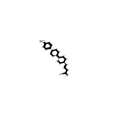 N#Cc1ccc([C@H]2CC[C@H]([C@H]3CC[C@H](C=CCC(F)F)CC3)CC2)cc1